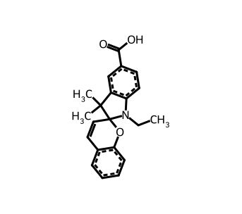 CCN1c2ccc(C(=O)O)cc2C(C)(C)C12C=Cc1ccccc1O2